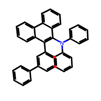 c1ccc(-c2cccc(-c3c(N(c4ccccc4)c4ccccc4)c4ccccc4c4ccccc34)c2)cc1